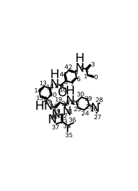 C=CC(=C)Nc1ccc(C(=O)Nc2cccc(Nc3cc(N[C@H]4CC[C@H](N(C)C)CC4)nc4c(C(C)C)cnn34)c2)cc1